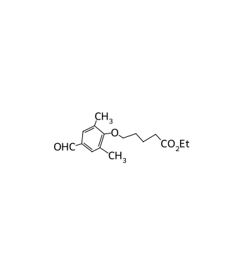 CCOC(=O)CCCCOc1c(C)cc(C=O)cc1C